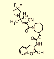 CC(C)(/C=C(\C#N)C(=O)N1CCCC[C@@H](OC(=O)N[C@@H](Cc2ccccc2)B(O)O)C1)N1CCC(F)(F)C1